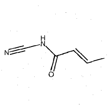 C/C=C/C(=O)NC#N